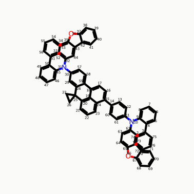 c1ccc(-c2ccccc2N(c2ccc(-c3ccc4c5c(cccc35)C3(CC3)c3cc(N(c5ccc6oc7ccccc7c6c5)c5ccccc5-c5ccccc5)ccc3-4)cc2)c2ccc3oc4ccccc4c3c2)cc1